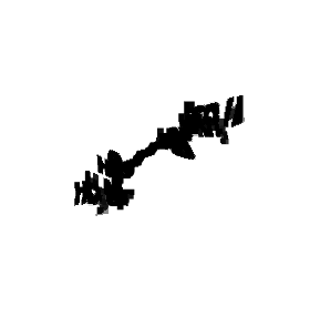 NC(CCCNC(=O)OCCCCCCOC(=O)NCCCC(N)(C(=O)O)C(F)F)(C(=O)O)C(F)F